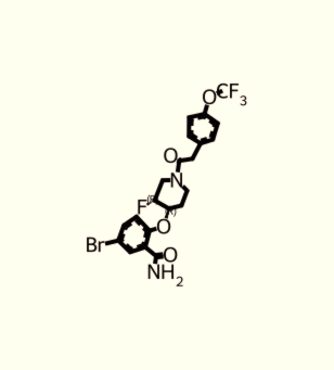 NC(=O)c1cc(Br)ccc1O[C@@H]1CCN(C(=O)Cc2ccc(OC(F)(F)F)cc2)C[C@H]1F